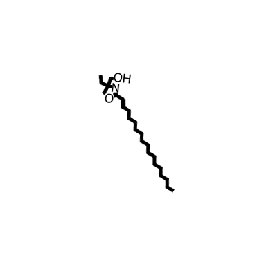 CCCCCCCCCCCCCCCC=CC1=NC(CC)(CO)CO1